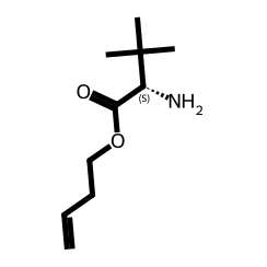 C=CCCOC(=O)[C@@H](N)C(C)(C)C